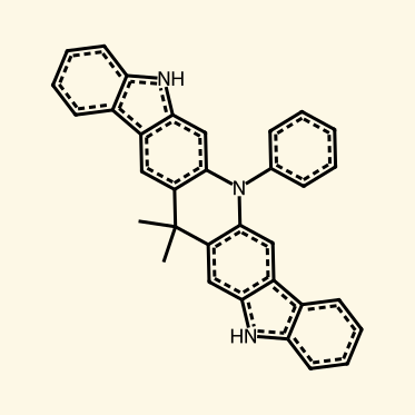 CC1(C)c2cc3[nH]c4ccccc4c3cc2N(c2ccccc2)c2cc3[nH]c4ccccc4c3cc21